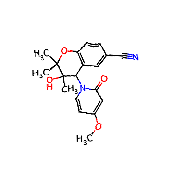 COc1ccn(C2c3cc(C#N)ccc3OC(C)(C)C2(C)O)c(=O)c1